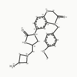 COc1ccc(CN2C(=O)COc3ccc(N4CC(CN5CC(N)C5)OC4=O)cc32)cc1